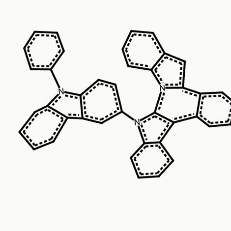 c1ccc(-n2c3ccccc3c3cc(-n4c5ccccc5c5c6ccccc6c6cc7ccccc7n6c54)ccc32)cc1